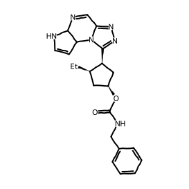 CC[C@@H]1C[C@H](OC(=O)NCc2ccccc2)C[C@@H]1c1nnc2n1C1C=CNC1N=C2